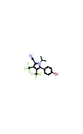 CC(C)n1c(C#N)c(C(F)(F)F)c(C(F)(F)F)c1-c1ccc(Br)cc1